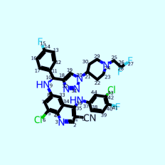 N#Cc1cnc2c(Cl)cc(N[C@@H](c3ccc(F)cc3)c3cn(C4CCN(CC(F)F)CC4)nn3)cc2c1Nc1ccc(F)c(Cl)c1